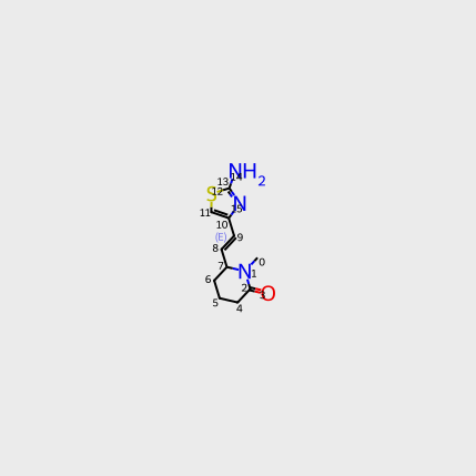 CN1C(=O)CCCC1/C=C/c1csc(N)n1